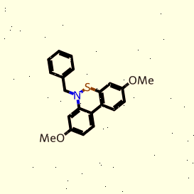 COc1ccc2c(c1)SN(Cc1ccccc1)c1cc(OC)ccc1-2